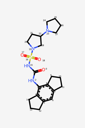 O=C(Nc1c2c(cc3c1CCC3)CCC2)NS(=O)(=O)N1CCC(N2CCCC2)C1